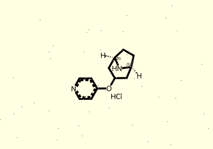 Cl.c1cc(OC2C[C@H]3CC[C@@H](C2)N3)ccn1